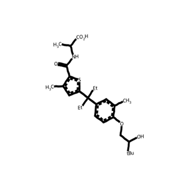 CCC(CC)(c1ccc(OCC(O)C(C)(C)C)c(C)c1)c1cc(C)c(C(=O)NC(C)C(=O)O)s1